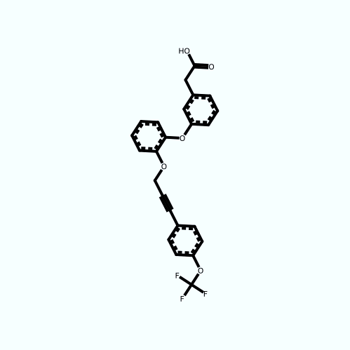 O=C(O)Cc1cccc(Oc2ccccc2OCC#Cc2ccc(OC(F)(F)F)cc2)c1